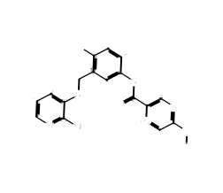 CCOc1cnc(C(=O)Nc2ccc(F)c(CNc3cccnc3N)c2)cn1